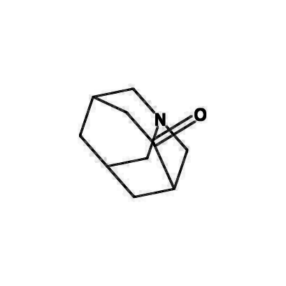 O=C1CC2CC3CC1CN(C2)C3